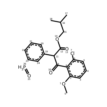 COc1cccc(Cl)c1C(=O)C(C(=O)OCC(C)C)c1ccccc1.O=[PH3]